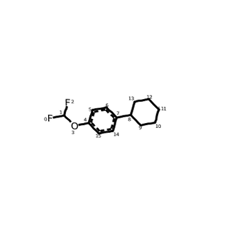 FC(F)Oc1ccc(C2CC[CH]CC2)cc1